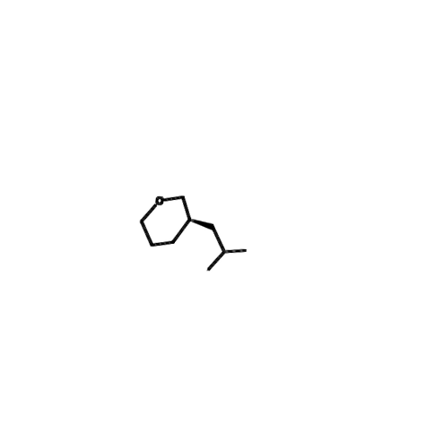 CC(C)C[C@H]1CCCOC1